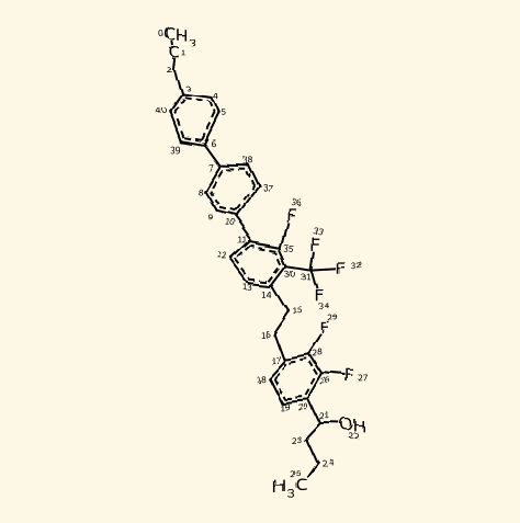 CCCc1ccc(-c2ccc(-c3ccc(CCc4ccc(C(O)CCC)c(F)c4F)c(C(F)(F)F)c3F)cc2)cc1